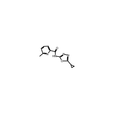 Cc1cccc(C(=O)Nc2nnc(C3CC3)o2)n1